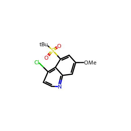 COc1cc(S(=O)(=O)C(C)(C)C)c2c(Cl)ccnc2c1